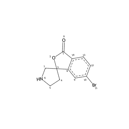 O=C1OC2(CCNC2)c2cc(Br)ccc21